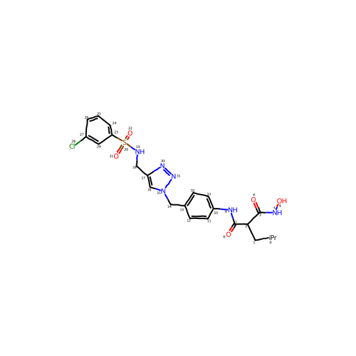 CC(C)CC(C(=O)NO)C(=O)Nc1ccc(Cn2cc(CNS(=O)(=O)c3cccc(Cl)c3)nn2)cc1